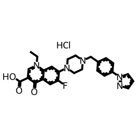 CCn1cc(C(=O)O)c(=O)c2cc(F)c(N3CCN(Cc4ccc(-n5cccn5)cc4)CC3)cc21.Cl